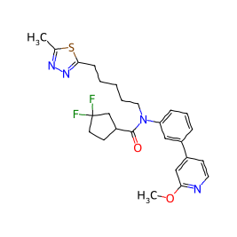 COc1cc(-c2cccc(N(CCCCCc3nnc(C)s3)C(=O)C3CCC(F)(F)C3)c2)ccn1